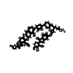 COCCN(CC1CCN(c2ccc(-n3cnc4ccc(Oc5c(F)ccc(NS(=O)(=O)N6CC[C@@H](F)C6)c5C#N)cc4c3=O)cc2)CC1)C1CC(Oc2ccc3c(c2)CN([C@H]2CCC(=O)NC2=O)C3=O)C1